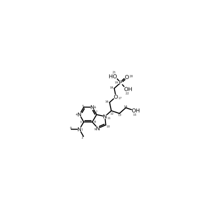 CN(C)c1ncnc2c1ncn2C(CCO)COCP(=O)(O)O